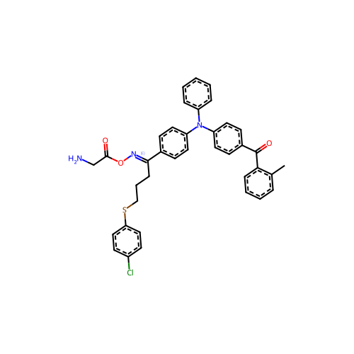 Cc1ccccc1C(=O)c1ccc(N(c2ccccc2)c2ccc(/C(CCCSc3ccc(Cl)cc3)=N/OC(=O)CN)cc2)cc1